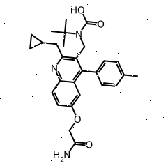 Cc1ccc(-c2c(CN(C(=O)O)C(C)(C)C)c(CC3CC3)nc3ccc(OCC(N)=O)cc23)cc1